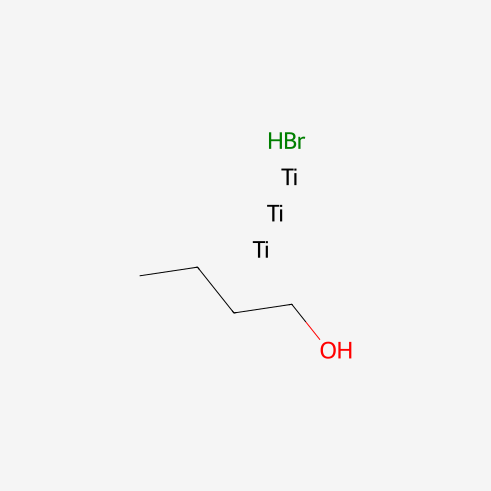 Br.CCCCO.[Ti].[Ti].[Ti]